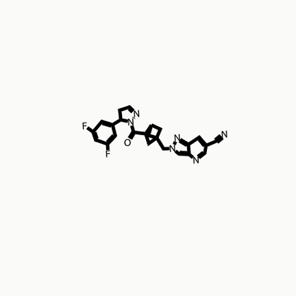 N#Cc1cnc2cn(CC34CC(C3)C(C(=O)N3N=CCC3c3cc(F)cc(F)c3)C4)nc2c1